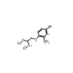 CCOC(COc1ccc(Br)cc1[N+](=O)[O-])OCC